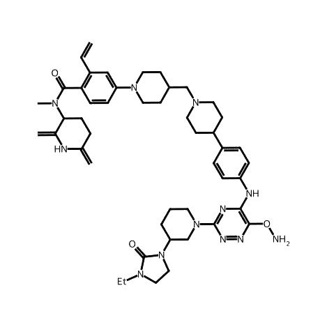 C=Cc1cc(N2CCC(CN3CCC(c4ccc(Nc5nc(N6CCCC(N7CCN(CC)C7=O)C6)nnc5ON)cc4)CC3)CC2)ccc1C(=O)N(C)C1CCC(=C)NC1=C